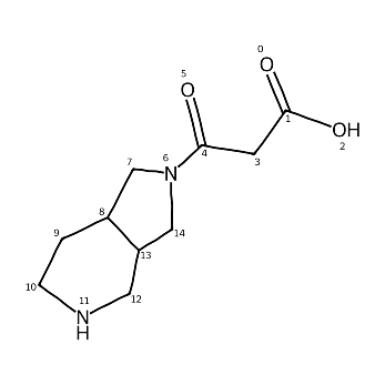 O=C(O)CC(=O)N1CC2CCNCC2C1